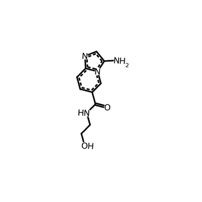 Nc1cnc2ccc(C(=O)NCCO)cn12